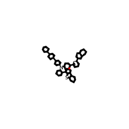 c1ccc(-c2ccc(-c3ccc(N(c4ccc(-c5cccc(-c6ccc7ccccc7c6)c5)cc4)c4ccccc4-c4cccc5c4sc4ccccc45)cc3)cc2)cc1